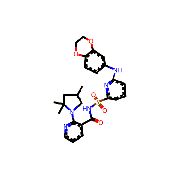 CC1CN(c2ncccc2C(=O)NS(=O)(=O)c2cccc(Nc3ccc4c(c3)OCCO4)n2)C(C)(C)C1